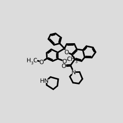 C1CCNCC1.COc1ccc(C2(c3ccccc3)C=Cc3c(c(C(=O)N4CCCCC4)cc4ccccc34)O2)c(OC)c1